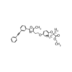 CCOC(=O)C(C)(C)Oc1ccc(OCCc2nc(-c3cccc(C#Cc4ccccc4)c3)oc2C)cc1